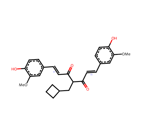 COc1cc(/C=C/C(=O)C(CC2CCC2)C(=O)/C=C/c2ccc(O)c(OC)c2)ccc1O